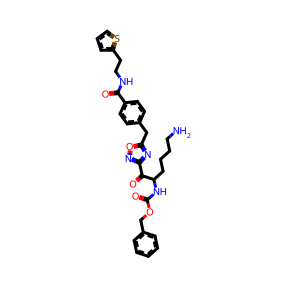 NCCCCC(NC(=O)OCc1ccccc1)C(=O)c1noc(Cc2ccc(C(=O)NCCc3cccs3)cc2)n1